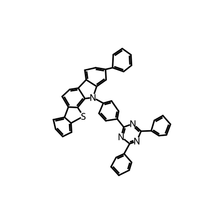 c1ccc(-c2ccc3c4ccc5c6ccccc6sc5c4n(-c4ccc(-c5nc(-c6ccccc6)nc(-c6ccccc6)n5)cc4)c3c2)cc1